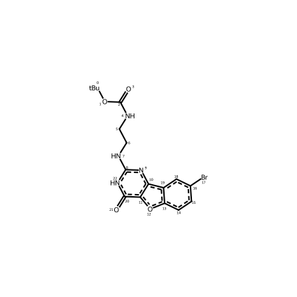 CC(C)(C)OC(=O)NCCNc1nc2c(oc3ccc(Br)cc32)c(=O)[nH]1